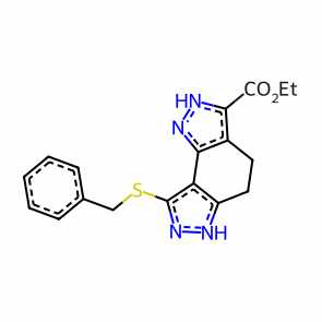 CCOC(=O)c1[nH]nc2c1CCc1[nH]nc(SCc3ccccc3)c1-2